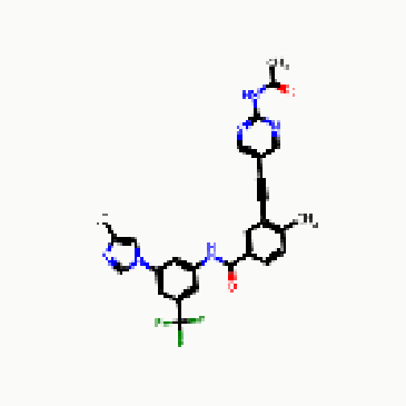 CC(=O)Nc1ncc(C#Cc2cc(C(=O)Nc3cc(-n4cnc(C)c4)cc(C(F)(F)F)c3)ccc2C)cn1